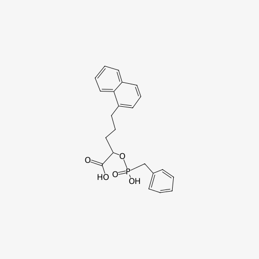 O=C(O)C(CCCc1cccc2ccccc12)OP(=O)(O)Cc1ccccc1